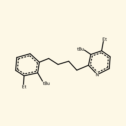 CCc1cccc(CCCCc2nccc(CC)c2C(C)(C)C)c1C(C)(C)C